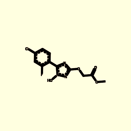 COC(=O)COc1nc(-c2ccc(Cl)cc2F)n(O)n1